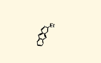 CCc1[c]cc2cc3ccccc3cc2c1